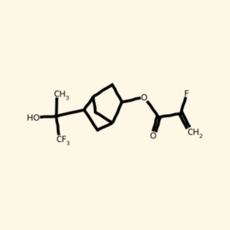 C=C(F)C(=O)OC1CC2CC1CC2C(C)(O)C(F)(F)F